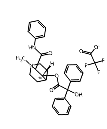 C[N+]12CCC(CC1)[C@@H](OC(=O)C(O)(c1ccccc1)c1ccccc1)C2C(=O)Nc1ccccc1.O=C([O-])C(F)(F)F